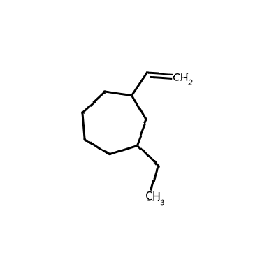 C=CC1CCCCC(CC)C1